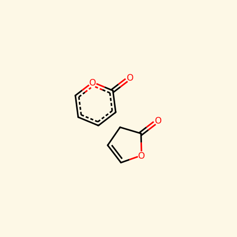 O=C1CC=CO1.O=c1cccco1